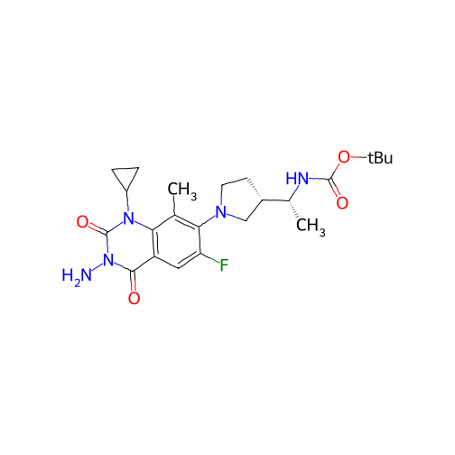 Cc1c(N2CC[C@H]([C@@H](C)NC(=O)OC(C)(C)C)C2)c(F)cc2c(=O)n(N)c(=O)n(C3CC3)c12